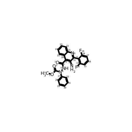 COC(=O)N(NC(=O)c1c(N)c(-c2c(F)cccc2F)nc2ccccc12)c1ccccc1